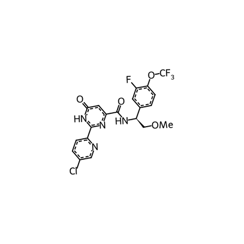 COC[C@@H](NC(=O)c1cc(=O)[nH]c(-c2ccc(Cl)cn2)n1)c1ccc(OC(F)(F)F)c(F)c1